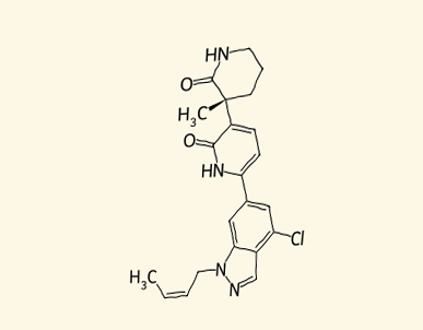 C/C=C\Cn1ncc2c(Cl)cc(-c3ccc([C@@]4(C)CCCNC4=O)c(=O)[nH]3)cc21